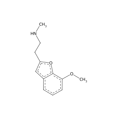 CNCCc1cc2cccc(OC)c2o1